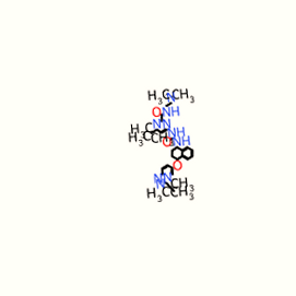 CN(C)CCNC(=O)c1nc(NC(=O)N[C@H]2CC[C@@H](Oc3ccc4nnc(C(C)(C)C)n4c3)c3ccccc32)cc(C(C)(C)C)n1